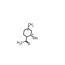 CC(=O)C1CC[C@@H](C)C[C@H]1O